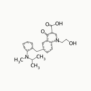 CC(C)N(C)c1ccccc1Cc1ccc2c(c1)c(=O)c(C(=O)O)cn2CCO